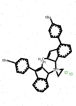 CC1=Cc2c(-c3ccc(C(C)(C)C)cc3)cccc2[CH]1[Zr+2]1([CH]2C(C(C)C)=C(c3ccc(C(C)(C)C)cc3)c3ccccc32)[CH2][CH2]1.[Cl-].[Cl-]